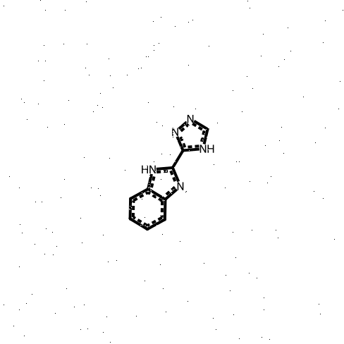 c1ccc2[nH]c(-c3nnc[nH]3)nc2c1